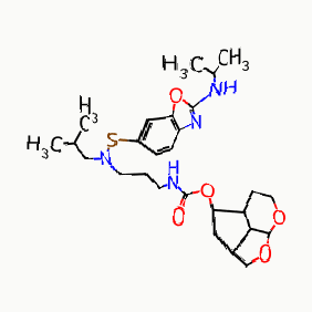 CC(C)CN(CCCNC(=O)OC1CC2COC3OCCC1C23)Sc1ccc2nc(NC(C)C)oc2c1